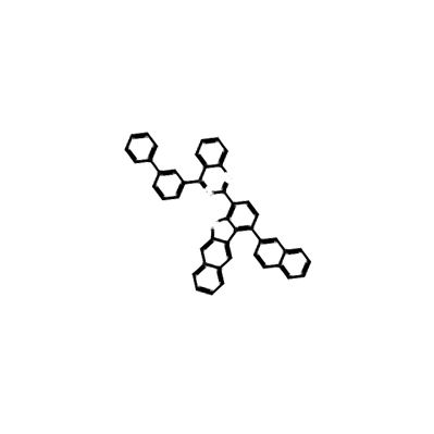 c1ccc(-c2cccc(-c3nc(-c4ccc(-c5ccc6ccccc6c5)c5c4oc4cc6ccccc6cc45)nc4ccccc34)c2)cc1